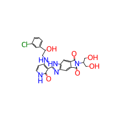 O=C1c2cc3nc(-c4c(NCC(O)c5cccc(Cl)c5)cc[nH]c4=O)[nH]c3cc2C(=O)N1C(CO)CO